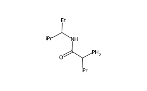 CCC(NC(=O)C(P)C(C)C)C(C)C